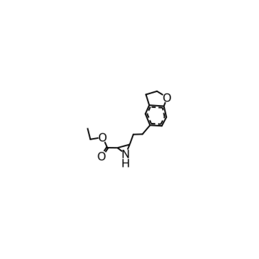 CCOC(=O)C1NC1CCc1ccc2c(c1)CCO2